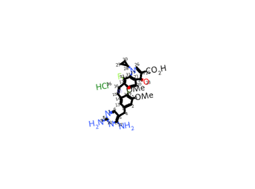 COc1cc(Cc2cnc(N)nc2N)cc(/C=C\c2c(F)cc3c(=O)c(C(=O)O)cn(C4CC4)c3c2F)c1OC.Cl